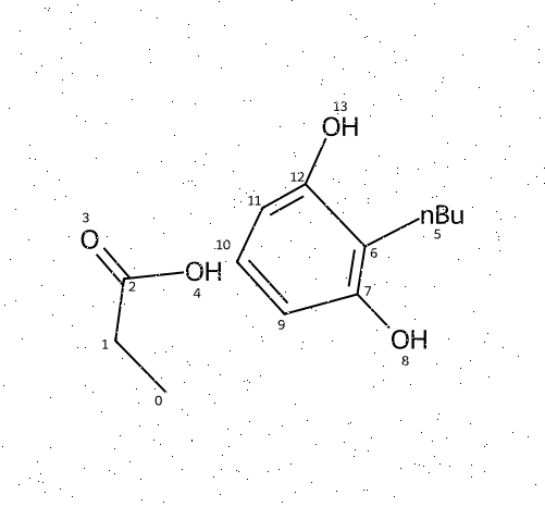 CCC(=O)O.CCCCc1c(O)cccc1O